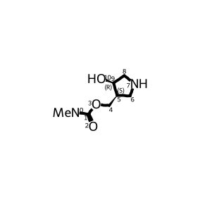 CNC(=O)OC[C@@H]1CNC[C@@H]1O